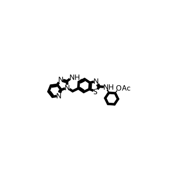 CC(=O)O[C@@H]1CCCC[C@H]1Nc1nc2ccc(Cn3c(N)nc4cccnc43)cc2s1